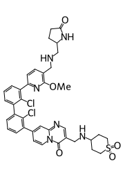 COc1nc(-c2cccc(-c3cccc(-c4ccn5c(=O)c(CNC6CCS(=O)(=O)CC6)cnc5c4)c3Cl)c2Cl)ccc1CNCC1CCC(=O)N1